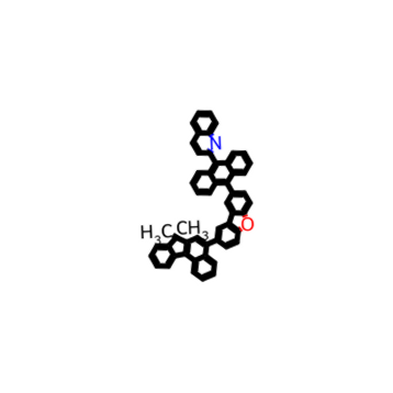 CC1(C)c2ccccc2-c2c1cc(-c1ccc3oc4ccc(-c5c6ccccc6c(-c6ccc7ccccc7n6)c6ccccc56)cc4c3c1)c1ccccc21